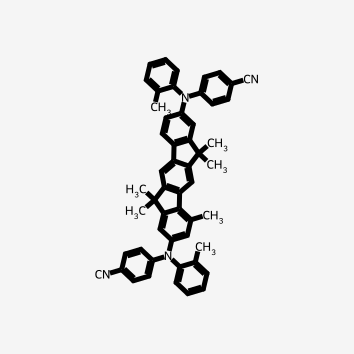 [C-]#[N+]c1ccc(N(c2cc(C)c3c(c2)C(C)(C)c2cc4c(cc2-3)C(C)(C)c2cc(N(c3ccc(C#N)cc3)c3ccccc3C)ccc2-4)c2ccccc2C)cc1